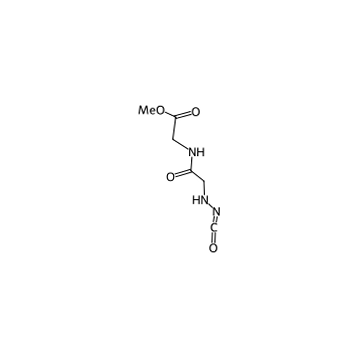 COC(=O)CNC(=O)CNN=C=O